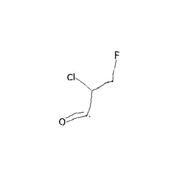 O=[C]C(Cl)CF